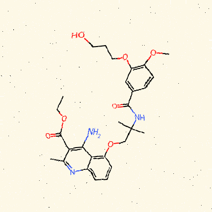 CCOC(=O)c1c(C)nc2cccc(OCC(C)(C)NC(=O)c3ccc(OC)c(OCCCO)c3)c2c1N